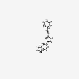 C(#Cc1ccc(-c2ccn3nccc3n2)s1)c1ccccn1